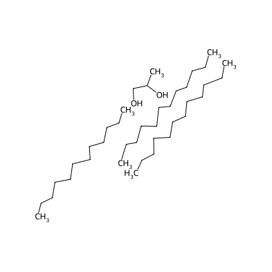 CC(O)CO.CCCCCCCCCCCC.CCCCCCCCCCCC.CCCCCCCCCCCC